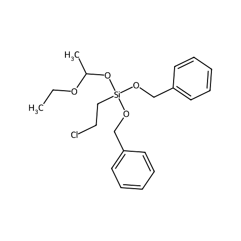 CCOC(C)O[Si](CCCl)(OCc1ccccc1)OCc1ccccc1